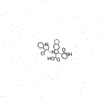 O=C(O)c1c(-c2ccc[nH]c2=O)c2cc3c(cc2n1Cc1cnc2ccccc2c1Cl)CCC3